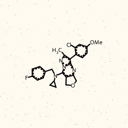 COc1ccc(-c2c(C)nn3c(N(Cc4ccc(F)cc4)C4CC4)c4c(nc23)COC4)c(Cl)c1